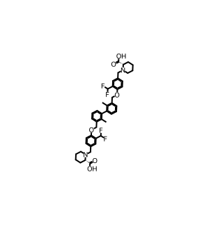 Cc1c(COc2ccc(CN3CCCC[C@H]3C(=O)O)cc2C(F)F)cccc1-c1cccc(COc2ccc(CN3CCCC[C@H]3C(=O)O)cc2C(F)F)c1C